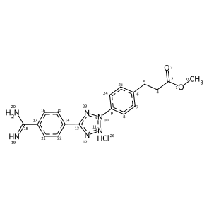 COC(=O)CCc1ccc(-n2nnc(-c3ccc(C(=N)N)cc3)n2)cc1.Cl